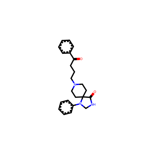 O=C(CCCN1CCC2(CC1)C(=O)NCN2c1ccccc1)c1ccccc1